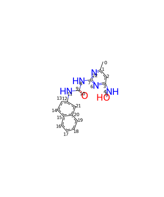 Cc1cc(NO)nc(NC(=O)Nc2ccc3ccccc3c2)n1